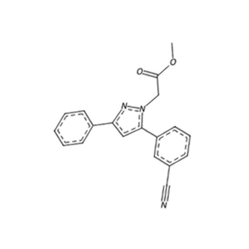 COC(=O)Cn1nc(-c2ccccc2)cc1-c1cccc(C#N)c1